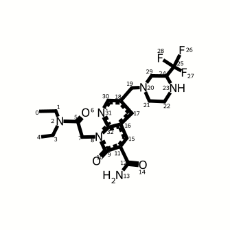 CCN(CC)C(=O)Cn1c(=O)c(C(N)=O)cc2cc(CN3CCNC(C(F)(F)F)C3)cnc21